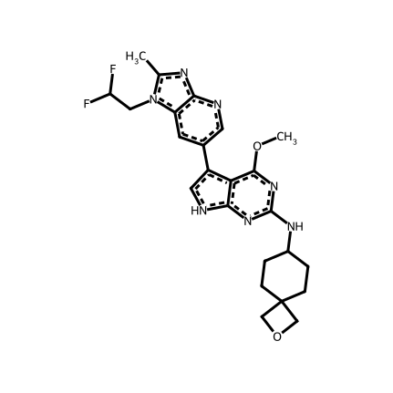 COc1nc(NC2CCC3(CC2)COC3)nc2[nH]cc(-c3cnc4nc(C)n(CC(F)F)c4c3)c12